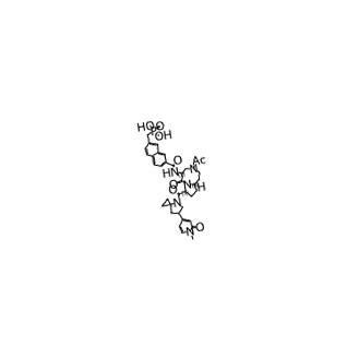 CC(=O)N1CC[C@H]2CC[C@@H](C(=O)N3CC(c4ccn(C)c(=O)c4)CC34CC4)N2C(=O)[C@@H](NC(=O)c2ccc3ccc(CP(=O)(O)O)cc3c2)C1